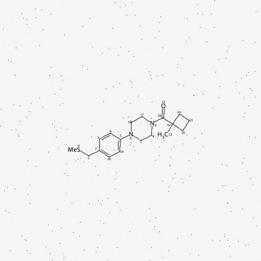 CSCc1ccc(N2CCN(C(=O)C3(C)CCC3)CC2)cc1